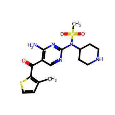 Cc1ccsc1C(=O)c1cnc(N(C2CCNCC2)S(C)(=O)=O)nc1N